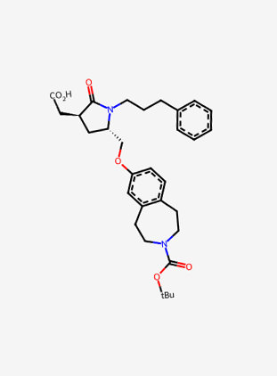 CC(C)(C)OC(=O)N1CCc2ccc(OC[C@@H]3C[C@@H](CC(=O)O)C(=O)N3CCCc3ccccc3)cc2CC1